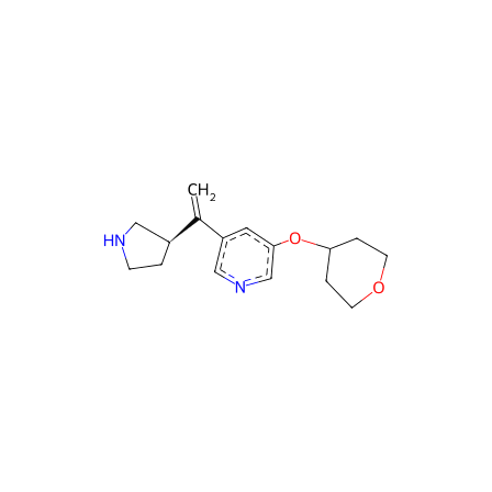 C=C(c1cncc(OC2CCOCC2)c1)[C@H]1CCNC1